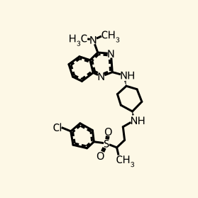 CC(CCN[C@H]1CC[C@@H](Nc2nc(N(C)C)c3ccccc3n2)CC1)S(=O)(=O)c1ccc(Cl)cc1